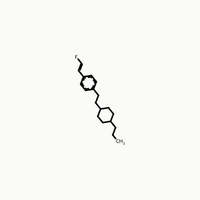 CCCC1CCC(CCc2ccc(C=CF)cc2)CC1